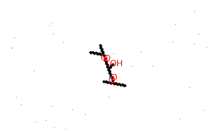 CCCCCCCCC(CCCCCC)COC(=O)CCCCCC(CCCO)CCCCCC(=O)OCC(CCCCCC)CCCCCCCC